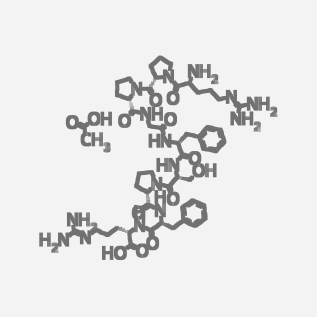 CC(=O)O.NC(N)=NCCC[C@H](NC(=O)[C@H](Cc1ccccc1)NC(=O)[C@@H]1CCCN1C(=O)[C@H](CO)NC(=O)[C@H](Cc1ccccc1)NC(=O)CNC(=O)[C@@H]1CCCN1C(=O)[C@@H]1CCCN1C(=O)[C@@H](N)CCCN=C(N)N)C(=O)O